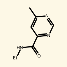 CCNC(=O)c1cc(C)ncn1